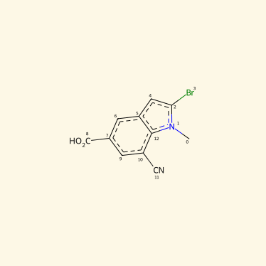 Cn1c(Br)cc2cc(C(=O)O)cc(C#N)c21